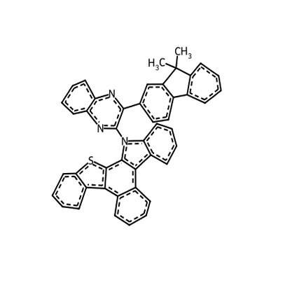 CC1(C)c2ccccc2-c2ccc(-c3nc4ccccc4nc3-n3c4ccccc4c4c5ccccc5c5c6ccccc6sc5c43)cc21